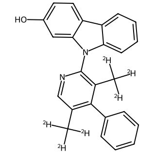 [2H]C([2H])([2H])c1cnc(-n2c3ccccc3c3ccc(O)cc32)c(C([2H])([2H])[2H])c1-c1ccccc1